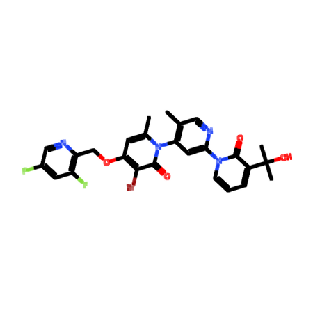 Cc1cnc(-n2cccc(C(C)(C)O)c2=O)cc1-n1c(C)cc(OCc2ncc(F)cc2F)c(Br)c1=O